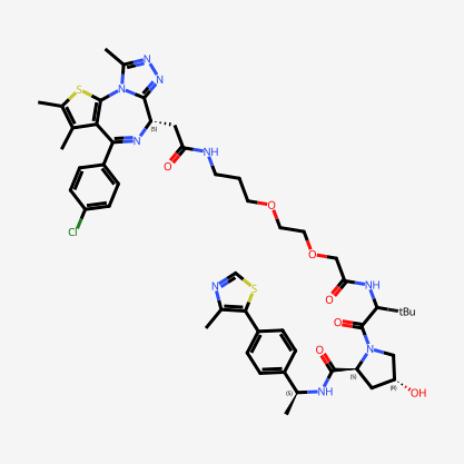 Cc1ncsc1-c1ccc([C@H](C)NC(=O)[C@@H]2C[C@@H](O)CN2C(=O)C(NC(=O)COCCOCCCNC(=O)C[C@@H]2N=C(c3ccc(Cl)cc3)c3c(sc(C)c3C)-n3c(C)nnc32)C(C)(C)C)cc1